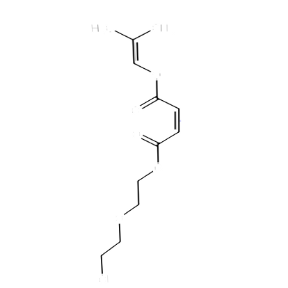 CC(C)=COC(=O)/C=C\C(=O)OCCOCCO